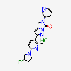 Cc1nc(N2CCC(F)C2)ccc1-c1cc2n(n1)C(=O)N(c1cccnc1)C2.Cl